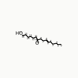 CCCCC/C=C/CCC(=O)CCCCCCO